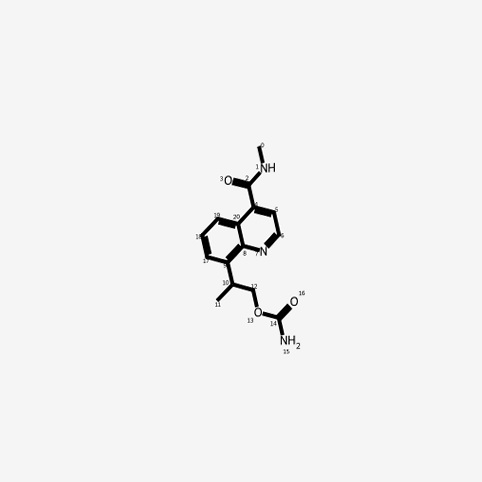 CNC(=O)c1ccnc2c(C(C)COC(N)=O)cccc12